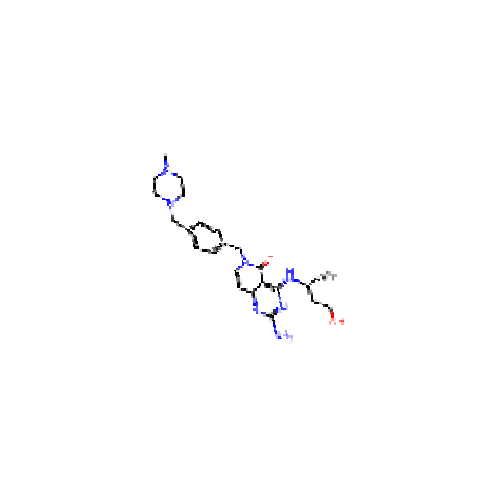 CCC[C@@H](CCO)Nc1nc(N)nc2ccn(Cc3ccc(CN4CCN(C)CC4)cc3)c(=O)c12